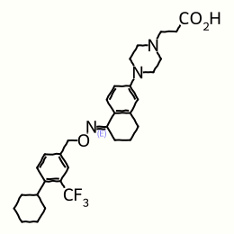 O=C(O)CCN1CCN(c2ccc3c(c2)CCC/C3=N\OCc2ccc(C3CCCCC3)c(C(F)(F)F)c2)CC1